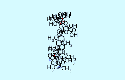 C/C=C(/C)C(=O)O[C@H]1[C@H](OC(=O)/C(C)=C\C)[C@@]2(CO)C(CC1(C)C)C1=CCC3[C@@]4(C)CC[C@H](O[C@@H]5OC(C(=O)O)[C@@H](O)[C@@H](O[C@@H]6O[C@@H](CO)[C@@H](O)C6O)C5O[C@@H]5OC(CO)[C@@H](O)[C@@H](O)C5O)[C@@](C)(CO)C4CC[C@@]3(C)[C@]1(C)[C@@H](O)[C@H]2O